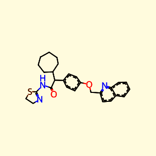 O=C(NC1=NCCS1)C(c1ccc(OCc2ccc3ccccc3n2)cc1)C1CCCCCC1